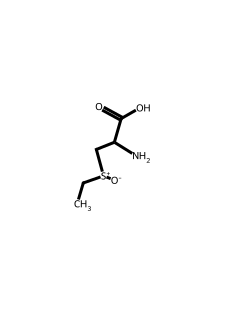 CC[S+]([O-])CC(N)C(=O)O